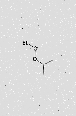 CCOOC(C)C